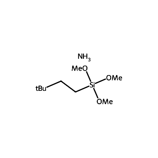 CO[Si](CCC(C)(C)C)(OC)OC.N